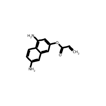 C=CC(=O)Oc1cc(N)c2ccc(N)cc2c1